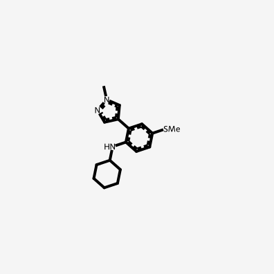 CSc1ccc(NC2CCCCC2)c(-c2cnn(C)c2)c1